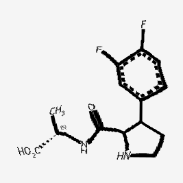 C[C@H](NC(=O)C1NCCC1c1ccc(F)c(F)c1)C(=O)O